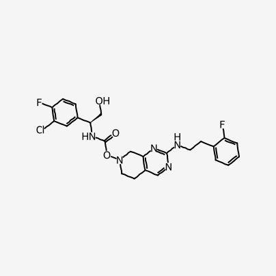 O=C(N[C@H](CO)c1ccc(F)c(Cl)c1)ON1CCc2cnc(NCCc3ccccc3F)nc2C1